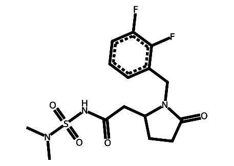 CN(C)S(=O)(=O)NC(=O)CC1CCC(=O)N1Cc1cccc(F)c1F